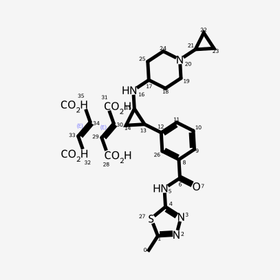 Cc1nnc(NC(=O)c2cccc(C3CC3NC3CCN(C4CC4)CC3)c2)s1.O=C(O)/C=C/C(=O)O.O=C(O)/C=C/C(=O)O